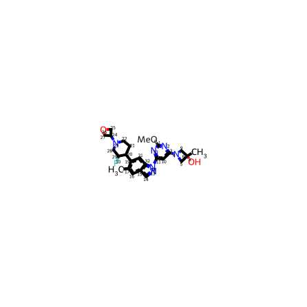 COc1nc(N2CC(C)(O)C2)cc(-n2ncc3cc(C)c(C4CCN(C5COC5)CC4F)cc32)n1